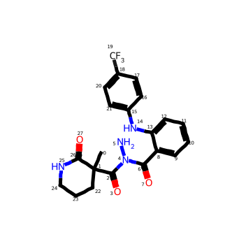 CC1(C(=O)N(N)C(=O)c2ccccc2Nc2ccc(C(F)(F)F)cc2)CCCNC1=O